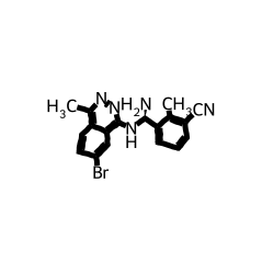 Cc1c(C#N)cccc1[C@@H](N)Nc1nnc(C)c2ccc(Br)cc12